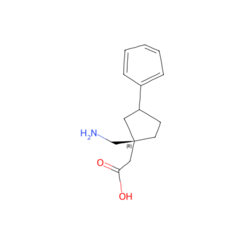 NC[C@]1(CC(=O)O)CCC(c2ccccc2)C1